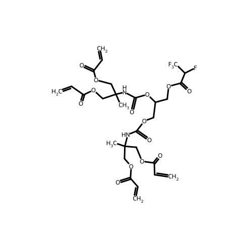 C=CC(=O)OCC(C)(COC(=O)C=C)NC(=O)OCC(COC(=O)C(F)C(F)(F)F)OC(=O)NC(C)(COC(=O)C=C)COC(=O)C=C